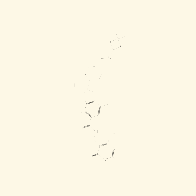 CSc1cc(C)[nH]c(=O)c1CNC(=O)c1cc(Cl)c2c(c1C)O[C@@](C)([C@H]1CC[C@@H](CNC3CC(F)(F)C3)CC1)O2